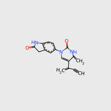 C#CC(=C)C1=CN(c2ccc3c(c2)CC(=O)N3)C(=O)NC1=C